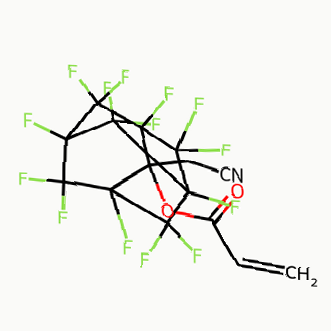 C=CC(=O)OC1(CC#N)C2(F)C(F)(F)C3(F)C(F)(F)C(F)(C2(F)F)C(F)(F)C1(F)C3(F)F